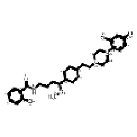 COC(CCCNC(=O)c1ccccc1O)C1CCC(CCN2CCN(c3ccc(Cl)cc3Cl)CC2)CC1